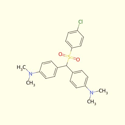 CN(C)c1ccc(C(c2ccc(N(C)C)cc2)S(=O)(=O)c2ccc(Cl)cc2)cc1